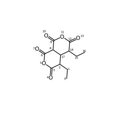 CCC1C(=O)OC(=O)C2C(=O)OC(=O)C(CC)C12